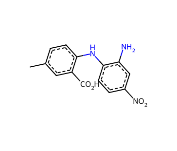 Cc1ccc(Nc2ccc([N+](=O)[O-])cc2N)c(C(=O)O)c1